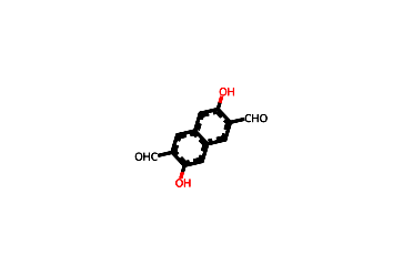 O=Cc1cc2cc(O)c(C=O)cc2cc1O